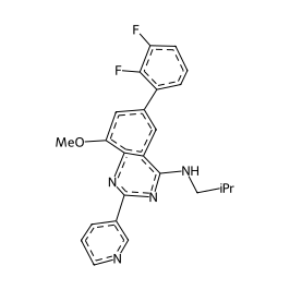 COc1cc(-c2cccc(F)c2F)cc2c(NCC(C)C)nc(-c3cccnc3)nc12